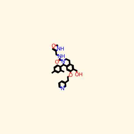 Cc1ccc(C2c3cc(OCCc4cccnc4)c(CO)cc3CCN2C(=O)NCC2=COCN2)c(C)c1